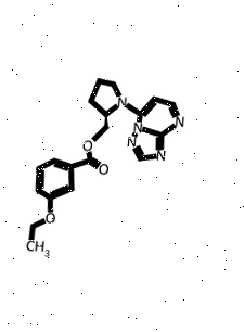 CCOc1cccc(C(=O)OC[C@H]2CCCN2c2ccnc3ncnn23)c1